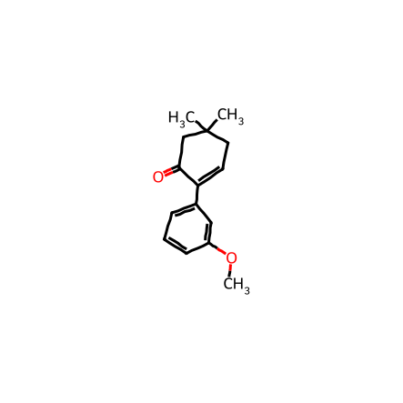 COc1cccc(C2=CCC(C)(C)CC2=O)c1